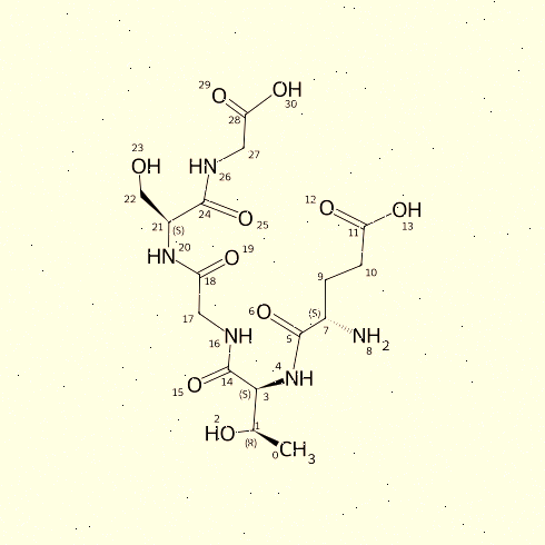 C[C@@H](O)[C@H](NC(=O)[C@@H](N)CCC(=O)O)C(=O)NCC(=O)N[C@@H](CO)C(=O)NCC(=O)O